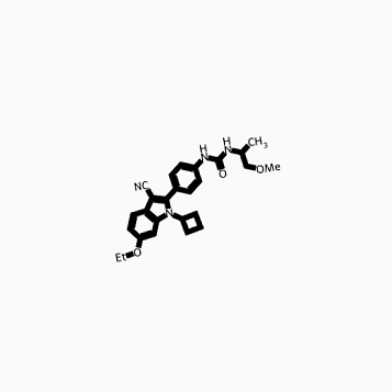 CCOc1ccc2c(C#N)c(-c3ccc(NC(=O)NC(C)COC)cc3)n(C3CCC3)c2c1